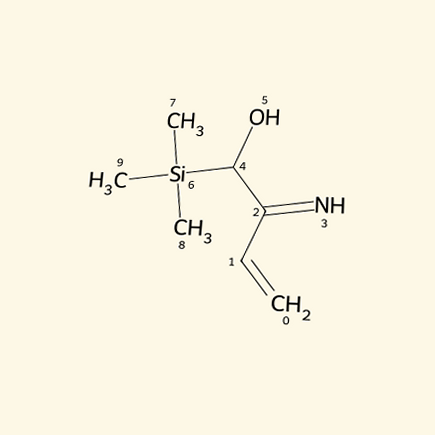 C=CC(=N)C(O)[Si](C)(C)C